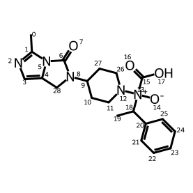 Cc1ncc2n1C(=O)N(C1CCN([N+]([O-])(C(=O)O)C(C)c3ccccc3)CC1)C2